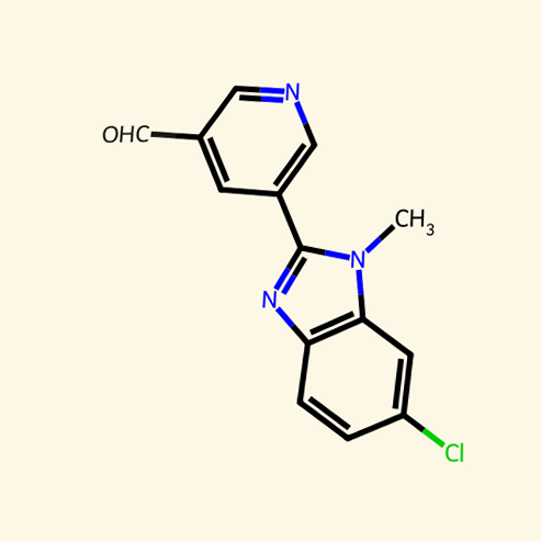 Cn1c(-c2cncc(C=O)c2)nc2ccc(Cl)cc21